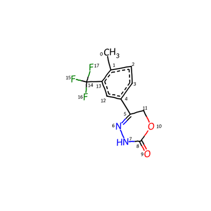 Cc1ccc(C2=NNC(=O)OC2)cc1C(F)(F)F